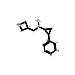 CC(=O)N(CC1CNC1)C1CC1c1ccccc1